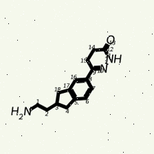 NCCC1Cc2ccc(C3=NNC(=O)CC3)cc2C1